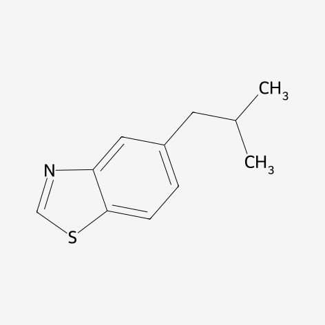 CC(C)Cc1ccc2scnc2c1